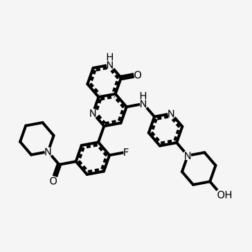 O=C(c1ccc(F)c(-c2cc(Nc3ccc(N4CCC(O)CC4)cn3)c3c(=O)[nH]ccc3n2)c1)N1CCCCC1